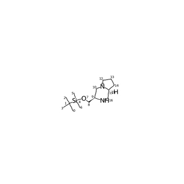 CC(C)(C)[Si](C)(C)OC[C@H]1CN2CCC[C@H]2CN1